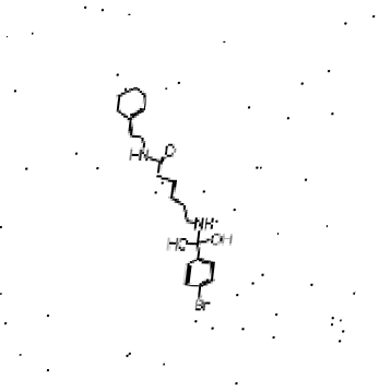 O=C(CCCCCNC(O)(O)c1ccc(Br)cc1)NCCC1=CCCCC1